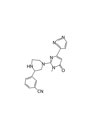 Cn1c(N2CCNC(c3cccc(C#N)c3)C2)nc(-c2ccncn2)cc1=O